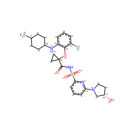 O=C(NS(=O)(=O)c1cccc(N2CC[C@H](O)C2)n1)C1(Oc2c(Cl)cccc2NC2CCC(C(F)(F)F)CC2)CC1